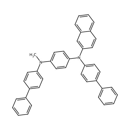 CN(c1ccc(-c2ccccc2)cc1)c1ccc(N(c2ccc(-c3ccccc3)cc2)c2ccc3ccccc3c2)cc1